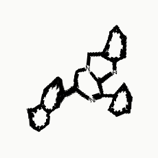 C1=C(c2ccc3ccccc3c2)N=C(c2ccccc2)C2=Nc3ccccc3CN12